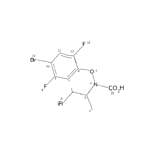 CC(C)CC(C)N(Oc1cc(F)c(Br)cc1F)C(=O)O